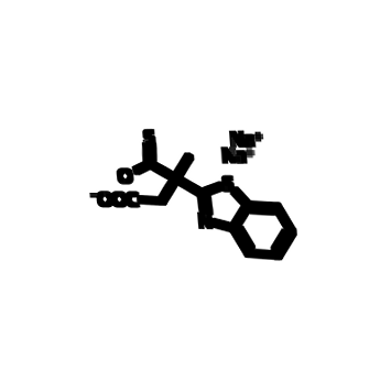 CC(CC(=O)[O-])(C([O-])=S)c1nc2ccccc2s1.[Na+].[Na+]